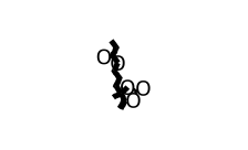 C=C1OC(=O)OC1(C)CCCOC(=O)CC